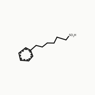 O=S(=O)(O)CCCCCCc1ccccc1